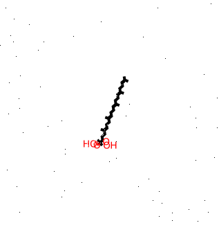 CC(C)=CCC/C(C)=C/CC/C(C)=C/CC/C=C(\C)CC/C=C(\C)CCC(OO)C(C)(C)OO